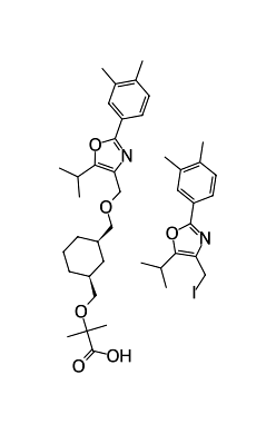 Cc1ccc(-c2nc(CI)c(C(C)C)o2)cc1C.Cc1ccc(-c2nc(COC[C@@H]3CCC[C@H](COC(C)(C)C(=O)O)C3)c(C(C)C)o2)cc1C